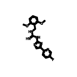 COc1cccc(OC)c1CNC(=N)Nc1nc(-c2ccc(F)cn2)cs1